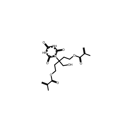 C=C(C)C(=O)OCCC(CO)(CCOC(=O)C(=C)C)n1c(=O)[nH]c(=O)[nH]c1=O